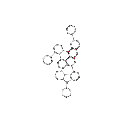 C1=CC2c3c(-c4ccc(N(c5cccc(-c6ccccc6)c5)c5cccc(-c6ccccc6)c5-c5ccccc5-c5ccccc5)cc4)cccc3N(c3ccccc3)C2C=C1